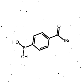 CC(C)(C)C(=O)c1ccc(B(O)O)cc1